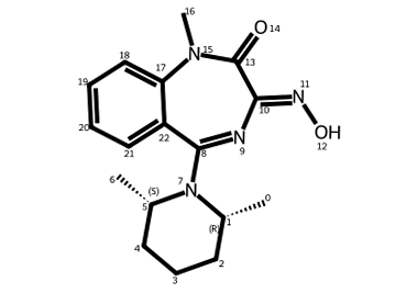 C[C@@H]1CCC[C@H](C)N1c1nc(=NO)c(=O)n(C)c2ccccc12